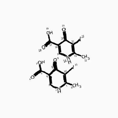 Cc1[nH]cc(C(=O)O)c(=O)c1I.Cc1[nH]cc(C(=O)O)c(=O)c1I